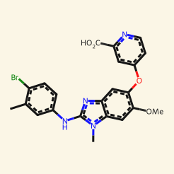 COc1cc2c(cc1Oc1ccnc(C(=O)O)c1)nc(Nc1ccc(Br)c(C)c1)n2C